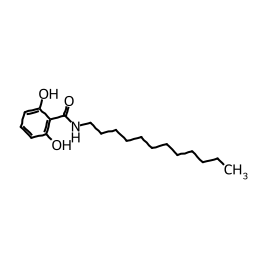 CCCCCCCCCCCCNC(=O)c1c(O)cccc1O